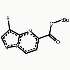 CC(C)(C)OC(=O)c1ccn2ncc(Br)c2n1